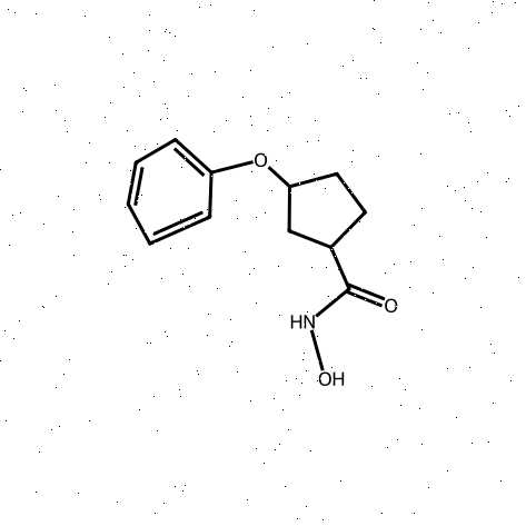 O=C(NO)C1CCC(Oc2ccccc2)C1